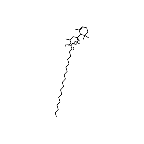 CCCCCCCCCCCCCCCCCCOS(=O)(=O)C(C)CC(=O)C1C(C)=CCCC1(C)C